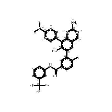 Cc1ccc(C(=O)Nc2cccc(C(F)(F)F)c2)cc1-c1cc2cnc(N)nc2c(-c2cnc(N(C)C)nc2)c1O